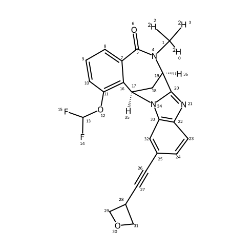 [2H]C([2H])([2H])N1C(=O)c2cccc(OC(F)F)c2[C@H]2C[C@@H]1c1nc3ccc(C#CC4COC4)cc3n12